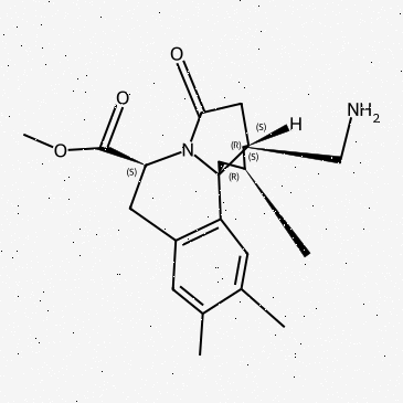 COC(=O)[C@@H]1Cc2cc(C)c(C)cc2[C@@]23C[C@H](C)[C@@H](CN)[C@@H]2CC(=O)N13